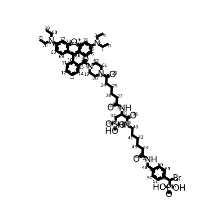 CCN(CC)c1ccc2c(-c3ccccc3C(=O)N3CCN(C(=O)CCCCC(=O)NC(CS(=O)(=O)O)C(=O)NCCCCCC(=O)NCc4ccc(C(Br)P(=O)(O)O)cc4)CC3)c3ccc(N(CC)CC)cc3[o+]c2c1